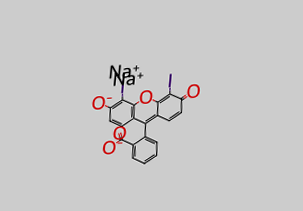 O=C([O-])c1ccccc1-c1c2ccc(=O)c(I)c-2oc2c(I)c([O-])ccc12.[Na+].[Na+]